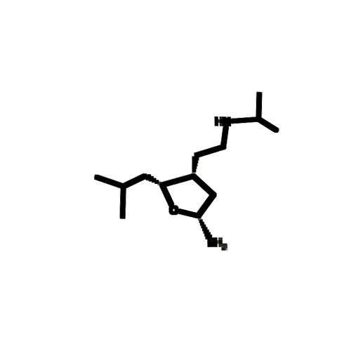 B[C@H]1C[C@@H](CCNC(C)C)[C@@H](CC(C)C)O1